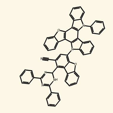 N#Cc1cc(-n2c3ccccc3c3c4c(c5ccccc5n4-c4ccccc4)c4oc5ccccc5c4c32)c2oc3ccccc3c2c1C1N=C(c2ccccc2)N=C(c2ccccc2)N1